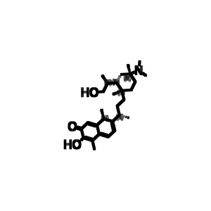 CC1=C(O)C(=O)C=C2C1=CC=C([C@@H](C)CC[C@@]1(C)CC[C@@](C)(N(C)C)C[C@H]1[C@H](C)CO)[C@@H]2C